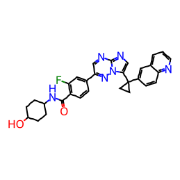 O=C(NC1CCC(O)CC1)c1ccc(-c2cnc3ncc(C4(c5ccc6ncccc6c5)CC4)n3n2)cc1F